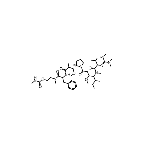 CCC(C)C(C(CC(=O)N1CCC[C@H]1C(OC)C(C)C(=O)NC(Cc1ccccc1)C(=O)N(C)CCOC(=O)NC)OC)N(C)C(=O)C(N=C(N(C)C)N(C)C)C(C)C